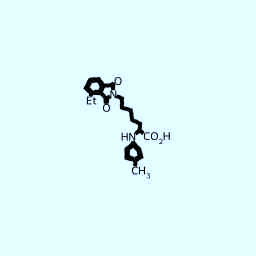 CCc1cccc2c1C(=O)N(CCCCCC(Nc1ccc(C)cc1)C(=O)O)C2=O